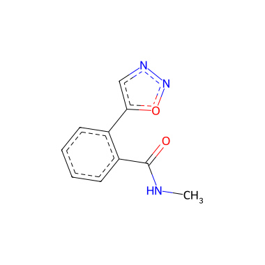 CNC(=O)c1ccccc1-c1cnno1